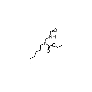 CCCCCCN(CNC=O)C(=O)OCC